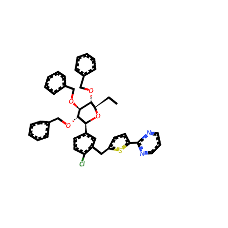 CC[C@H]1O[C@@H](c2ccc(Cl)c(Cc3ccc(-c4ncccn4)s3)c2)[C@H](OCc2ccccc2)[C@@H](OCc2ccccc2)[C@@H]1OCc1ccccc1